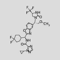 COC[C@H](c1ccc2oc([C@@H](NC(=O)c3ncnn3C3CC3)C3CCC(F)(F)CC3)nc2c1)N1C[C@@H](C(F)(F)F)NC1=O